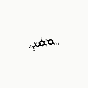 COC(=O)C(N)Cc1cc(I)c(Oc2ccc(O)cc2)c(I)c1